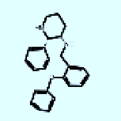 c1ccc(Oc2ccccc2CN[C@H]2CCCN[C@H]2c2ccccc2)cc1